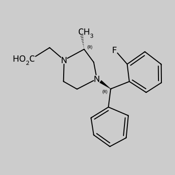 C[C@@H]1CN([C@H](c2ccccc2)c2ccccc2F)CCN1CC(=O)O